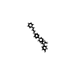 O=C1OC2(CCN(c3ccc(OCCCN4CCCCC4)cc3)CC2)CN1c1ccc(F)nc1